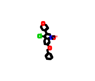 [O-][n+]1cc(C2=CCOCC2)c(Cl)c2ccc(OCc3ccccc3)cc21